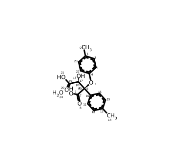 Cc1ccc(O[C@](C(=O)O)(c2ccc(C)cc2)[C@@H](O)C(=O)O)cc1.O